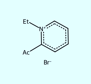 CC[n+]1ccccc1C(C)=O.[Br-]